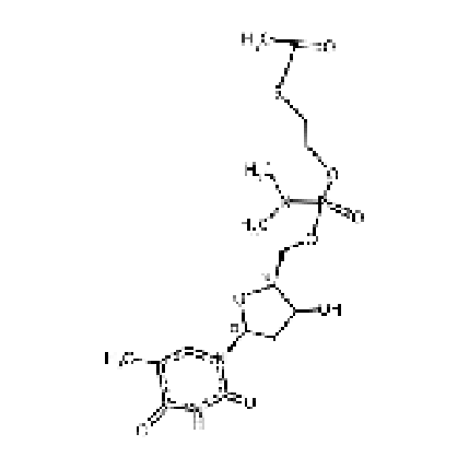 CC(=O)SCCOP(=O)(OC[C@@H]1O[C@H](n2cc(C)c(=O)[nH]c2=O)CC1O)N(C)C